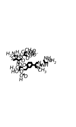 C[n+]1cc(-c2ccc3c(c2)CC[C@H]([C@](C)(O/N=C(\C(=O)N[C@@H]2C(=O)N(OS(=O)(=O)[O-])C2(C)C)c2csc(N)n2)C(=O)O)O3)cnc1NC(CN)CN.O=CO